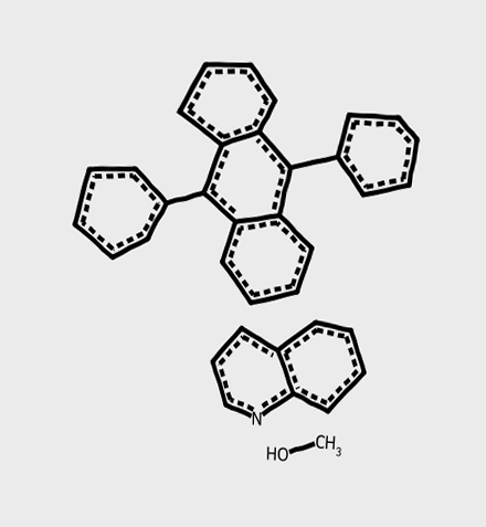 CO.c1ccc(-c2c3ccccc3c(-c3ccccc3)c3ccccc23)cc1.c1ccc2ncccc2c1